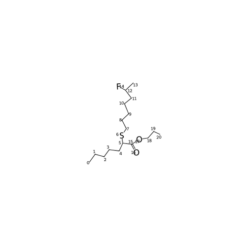 CCCCCC(SCCCCCC(C)F)C(=O)OCCC